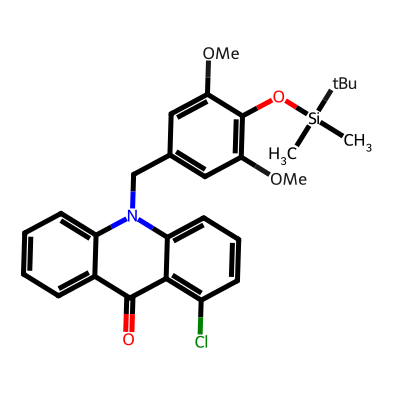 COc1cc(Cn2c3ccccc3c(=O)c3c(Cl)cccc32)cc(OC)c1O[Si](C)(C)C(C)(C)C